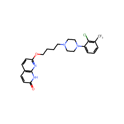 O=c1ccc2ccc(OCCCCN3CCN(c4cccc(C(F)(F)F)c4Cl)CC3)nc2[nH]1